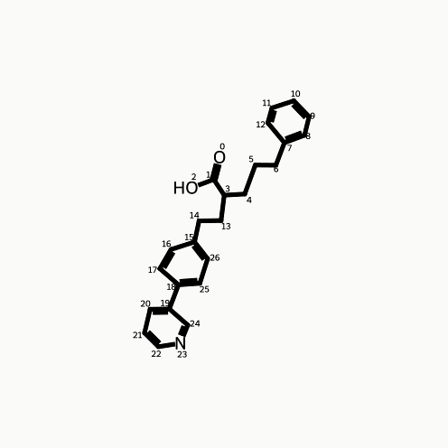 O=C(O)C(CCCc1ccccc1)CCc1ccc(-c2cccnc2)cc1